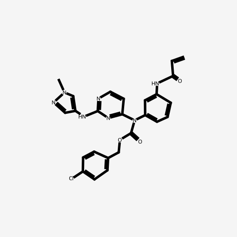 C=CC(=O)Nc1cccc(N(C(=O)OCc2ccc(Cl)cc2)c2ccnc(Nc3cnn(C)c3)n2)c1